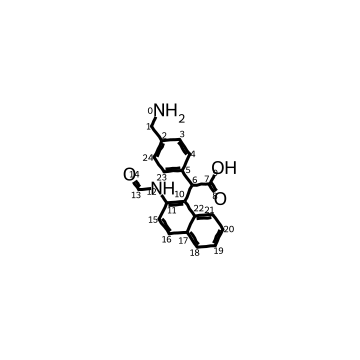 NCc1ccc(C(C(=O)O)c2c(NC=O)ccc3ccccc23)cc1